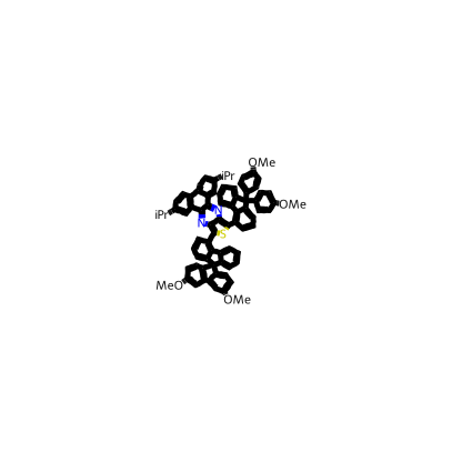 COc1ccc(C2(c3ccc(OC)cc3)c3ccccc3-c3c(-c4sc(-c5cccc6c5-c5ccccc5C6(c5ccc(OC)cc5)c5ccc(OC)cc5)c5nc6c7cc(C(C)C)ccc7c7ccc(C(C)C)cc7c6nc45)cccc32)cc1